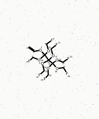 C=COC(OCF)(OCF)C(OCF)(OCF)C(OCF)(OCF)OCF